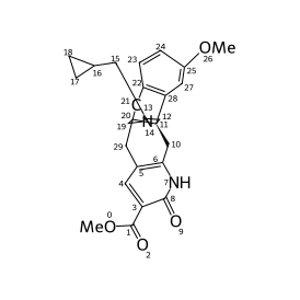 COC(=O)c1cc2c([nH]c1=O)C[C@@]13CCN(CC4CC4)CC1(Cc1ccc(OC)cc13)C2